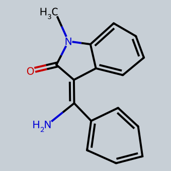 CN1C(=O)/C(=C(\N)c2ccccc2)c2ccccc21